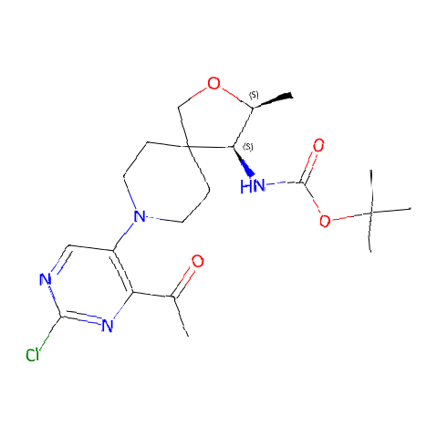 CC(=O)c1nc(Cl)ncc1N1CCC2(CC1)CO[C@@H](C)[C@H]2NC(=O)OC(C)(C)C